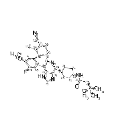 COc1ccc(-c2c(-c3ccc(C#N)c(F)c3)nc(N3CCC(NC(=O)OC(C)(C)C)CC3)c3nc[nH]c23)cc1F